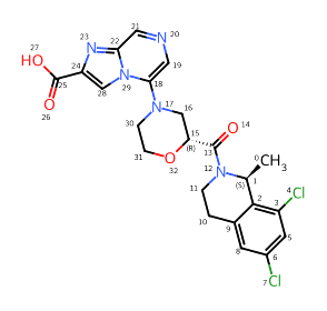 C[C@H]1c2c(Cl)cc(Cl)cc2CCN1C(=O)[C@H]1CN(c2cncc3nc(C(=O)O)cn23)CCO1